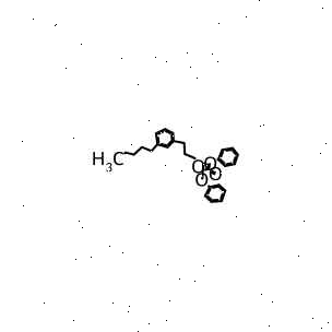 CCCCCc1cccc(CCCOP(=O)(Oc2ccccc2)Oc2ccccc2)c1